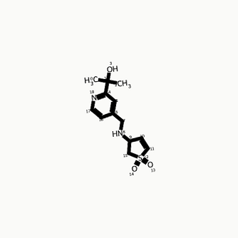 CC(C)(O)c1cc(CNC2C=CS(=O)(=O)C2)ccn1